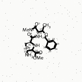 CNC(=O)[C@@H](NC(=O)[C@H](CC(C)C)NC(CN)C(=O)OC)C(C)OCc1ccccc1